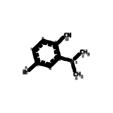 CN(C)c1cc(Br)ccc1C#N